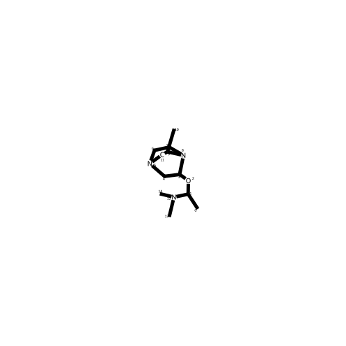 CC(OC1CN2CCN1C(C)C2)N(C)C